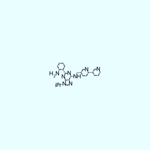 CC(C)n1cnc2c(NCc3ccc(-c4cccnc4)nc3)nc(-c3ccccc3N)nc21